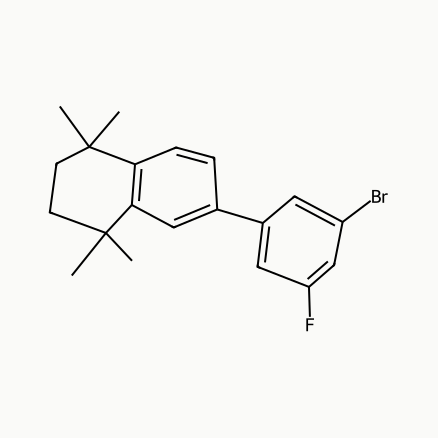 CC1(C)CCC(C)(C)c2cc(-c3cc(F)cc(Br)c3)ccc21